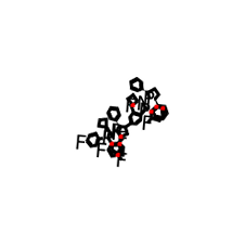 Fc1ccc(P(c2ccc(F)cc2F)N(C2CCC2)P2[C@H](c3ccccc3)C(c3ccc(P(c4ccccc4F)N(C4CCC4)P4[C@H](c5ccccc5)CC[C@H]4c4ccccc4)c(F)c3)C[C@H]2c2ccccc2)c(F)c1